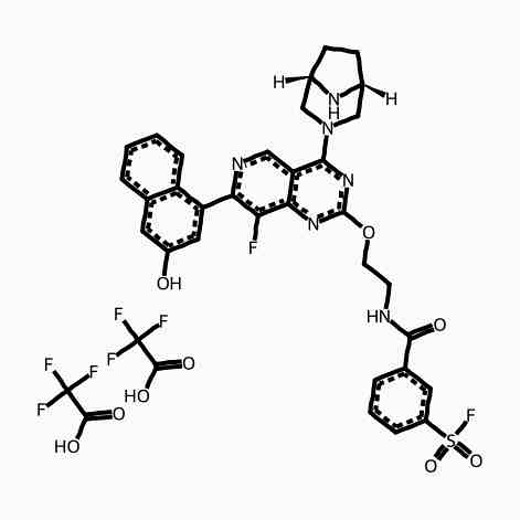 O=C(NCCOc1nc(N2C[C@H]3CC[C@@H](C2)N3)c2cnc(-c3cc(O)cc4ccccc34)c(F)c2n1)c1cccc(S(=O)(=O)F)c1.O=C(O)C(F)(F)F.O=C(O)C(F)(F)F